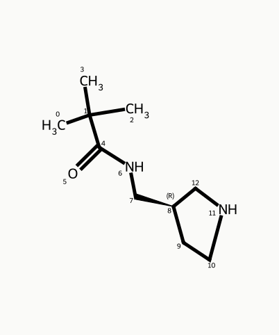 CC(C)(C)C(=O)NC[C@@H]1CCNC1